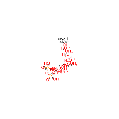 O.O.O.O.O.O.O.O.O.O.O.O.O=P(O)(O)OP(=O)(O)O.[NaH].[NaH]